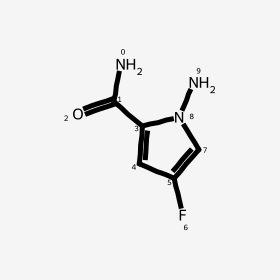 NC(=O)c1cc(F)cn1N